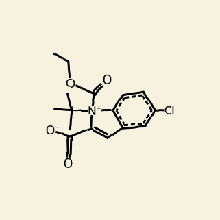 CCOC(=O)[N+]1(C(C)(C)C)C(C(=O)[O-])=Cc2cc(Cl)ccc21